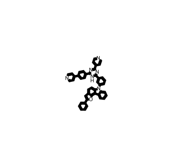 c1ccc(-c2cc3ccc4c(c5ccccc5n4-c4cccc(C5=NC(c6ccncc6)=NC(c6ccc(-c7ccncc7)cc6)N5)c4)c3o2)cc1